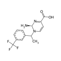 CC(c1cccc(C(F)(F)F)c1)N1C=CC(C(=O)O)=N[C@@H]1N